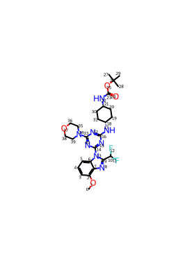 COc1cccc2c1nc(C(F)F)n2-c1nc(N[C@H]2CC[C@H](NC(=O)OC(C)(C)C)CC2)nc(N2CCOCC2)n1